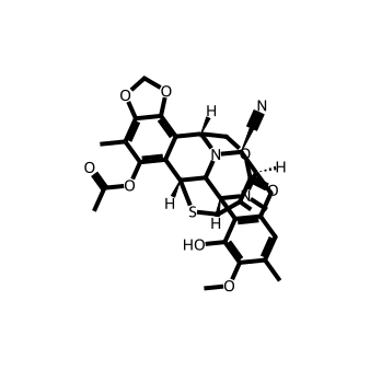 COc1c(C)cc2c(c1O)[C@@H]1C3[C@@H]4SCC(C)C(=O)OC[C@@H](c5c6c(c(C)c(OC(C)=O)c54)OCO6)N3[C@@H](C#N)[C@@H](C2)N1C